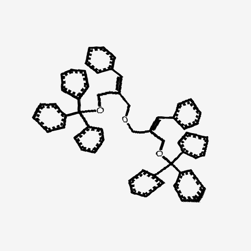 C(=C(COCC(=Cc1ccccc1)COC(c1ccccc1)(c1ccccc1)c1ccccc1)COC(c1ccccc1)(c1ccccc1)c1ccccc1)c1ccccc1